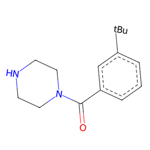 CC(C)(C)c1cccc(C(=O)N2CCNCC2)c1